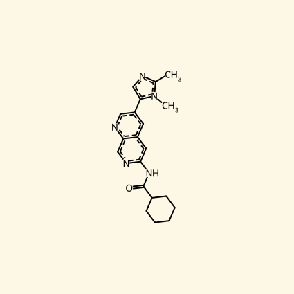 Cc1ncc(-c2cnc3cnc(NC(=O)C4CCCCC4)cc3c2)n1C